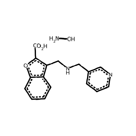 NO.O=C(O)c1oc2ccccc2c1CNCc1cccnc1